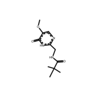 COc1cnc(CNC(=O)C(C)(C)C)[nH]c1=O